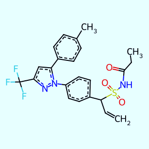 C=CC(c1ccc(-n2nc(C(F)(F)F)cc2-c2ccc(C)cc2)cc1)S(=O)(=O)NC(=O)CC